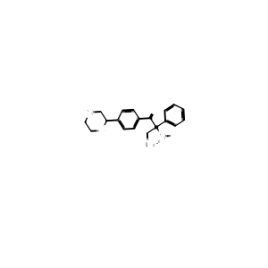 CCC(C(=O)c1ccc(C2CNCCO2)cc1)(c1ccccc1)N(C)C